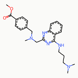 COC(=O)c1ccc(CN(C)Cc2nc(NCCCN(C)C)c3ccccc3n2)cc1